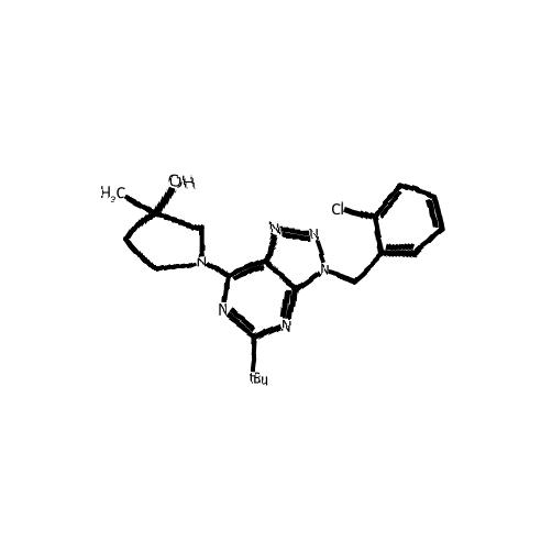 CC1(O)CCN(c2nc(C(C)(C)C)nc3c2nnn3Cc2ccccc2Cl)C1